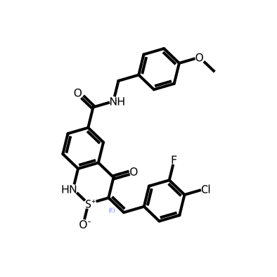 COc1ccc(CNC(=O)c2ccc3c(c2)C(=O)/C(=C\c2ccc(Cl)c(F)c2)[S+]([O-])N3)cc1